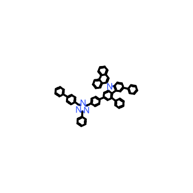 c1ccc(-c2ccc(-c3nc(-c4ccccc4)nc(-c4ccc(-c5cc(-c6ccccc6)c6c7cc(-c8ccccc8)ccc7n(-c7cc8ccccc8c8ccccc78)c6c5)cc4)n3)cc2)cc1